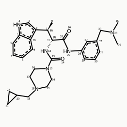 C[C@H](c1c[nH]c2ccccc12)[C@@H](NC(=O)N1CCN(CC2CC2)CC1)C(=O)Nc1cccc(CN(C)C)c1